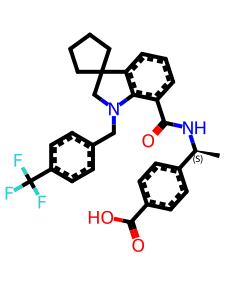 C[C@H](NC(=O)c1cccc2c1N(Cc1ccc(C(F)(F)F)cc1)CC21CCCC1)c1ccc(C(=O)O)cc1